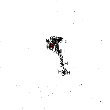 C[C@H](O)[C@@H](NC(=O)[C@@H](Cc1cnc[nH]1)NC(=O)[C@@H](CO)NC(=O)CCc1cnc[nH]1)C(=O)N[C@H](C)C(O)N[C@@H](CCCCn1cc(C[C@H](NC(=O)COCCOCCOCCNC(=O)CCCC[C@@H]2SCC3NC(=O)NC32)C(N)=O)nn1)C(N)=O